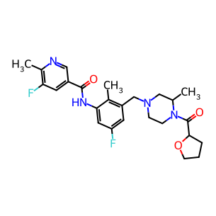 Cc1ncc(C(=O)Nc2cc(F)cc(CN3CCN(C(=O)C4CCCO4)C(C)C3)c2C)cc1F